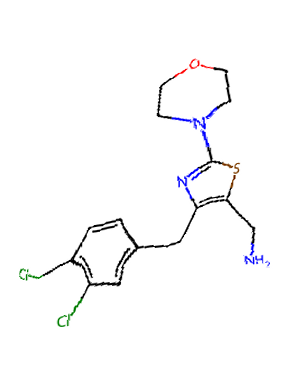 NCc1sc(N2CCOCC2)nc1Cc1ccc(Cl)c(Cl)c1